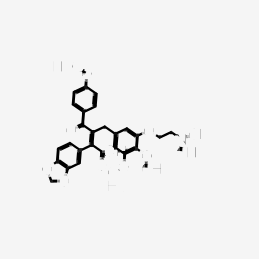 COc1ccc(C(=O)/C(Cc2cc(OC)c(OC)c(OCCN(C)C)c2)=C(/C(=O)O)c2ccc3c(c2)OCO3)cc1